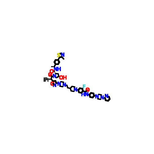 Cc1ncsc1-c1ccc([C@H](C)NC(=O)[C@@H]2C[C@@H](O)CN2C(=O)[C@@H](c2cc(N3CCN(CCC4CCN(c5ccc(C(=O)Nc6ccc(N7CCN(c8ccccn8)CC7)cc6)c(F)c5)CC4)CC3)no2)C(C)C)cc1